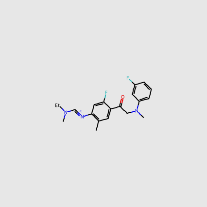 CCN(C)/C=N/c1cc(F)c(C(=O)CN(C)c2cccc(F)c2)cc1C